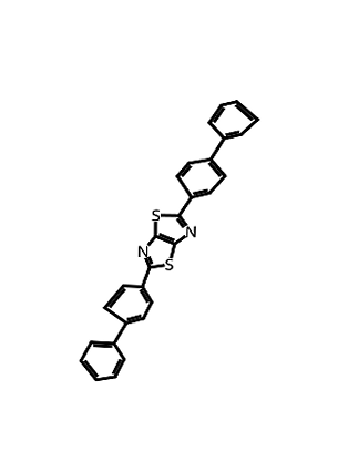 c1ccc(-c2ccc(-c3nc4sc(-c5ccc(-c6ccccc6)cc5)nc4s3)cc2)cc1